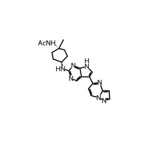 CC(=O)N[C@]1(C)CC[C@@H](Nc2ncc3c(-c4ccn5nccc5n4)c[nH]c3n2)CC1